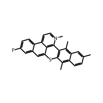 Cc1ccc2c(C)c3c(c(C)c2c1)-c1c2c(cc4cc(F)ccc4c2cc[n+]1C)S3